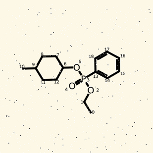 CCOP(=O)(OC1CCC(C)CC1)c1ccccc1